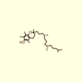 Cc1c(C)c2c(c(C)c1O)CCC(C)(CCC[C@@H](C)CCC[C@H](C)CCCC(C)C)O2